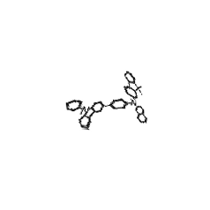 CC1(C)c2ccccc2-c2ccc(N(c3ccc(-c4ccc5c(c4)c4ccccc4n5-c4ccccc4)cc3)c3ccc4ccccc4c3)cc21